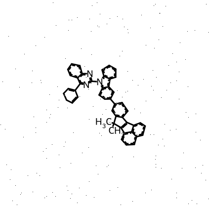 CC1(C)C2=C(c3ccc(-c4ccc5c(c4)c4ccccc4n5-c4nc(C5=CCCC=C5)c5ccccc5n4)cc31)c1cccc3cccc2c13